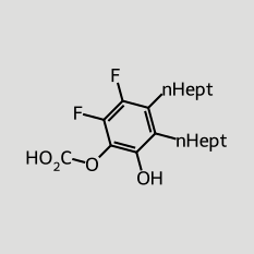 CCCCCCCc1c(O)c(OC(=O)O)c(F)c(F)c1CCCCCCC